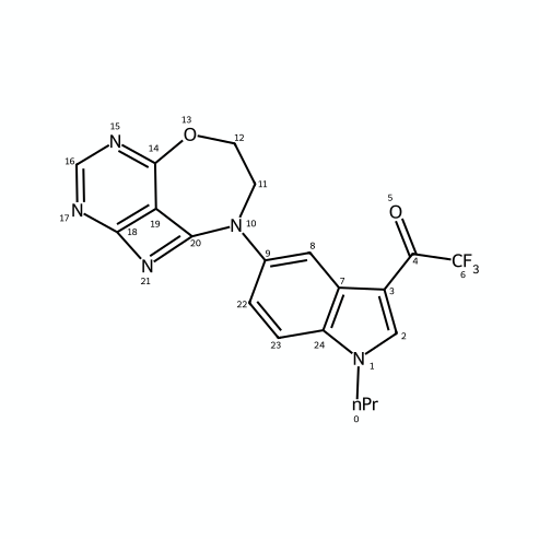 CCCn1cc(C(=O)C(F)(F)F)c2cc(N3CCOc4ncnc5c4C3=N5)ccc21